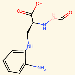 Nc1ccccc1NC[C@H](NBC=O)C(=O)O